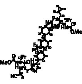 COC(=O)N[C@H](C(=O)N(Cc1ncc(-c2ccc3c(c2)C(F)(F)c2cc(-c4ccc5nc(CN(CC6(C)CC6)C(=O)[C@@H](NC(=O)OC)C(C)C)[nH]c5c4)ccc2-3)[nH]1)C[C@H](C)C#N)C(C)C